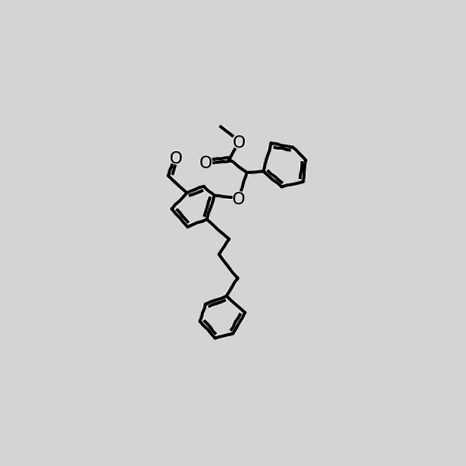 COC(=O)C(Oc1cc(C=O)ccc1CCCc1ccccc1)c1ccccc1